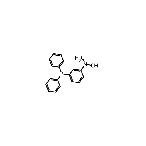 CN(C)c1cccc(P(c2ccccc2)c2ccccc2)c1